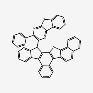 c1ccc(-c2nc3sc4ccccc4c3nc2C2c3ccccc3-c3c2c2sc4c5ccccc5ccc4c2c2ccccc32)cc1